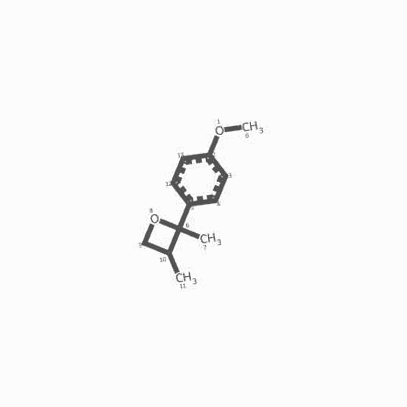 COc1ccc(C2(C)OCC2C)cc1